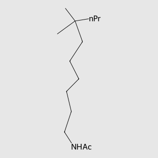 CCCC(C)(C)CCCCCCNC(C)=O